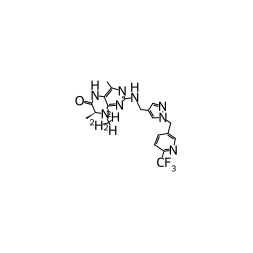 [2H]C([2H])([2H])N1c2nc(NCc3cnn(Cc4ccc(C(F)(F)F)nc4)c3)nc(C)c2NC(=O)[C@@H]1C